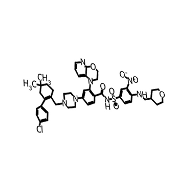 CC1(C)CCC(CN2CCN(c3ccc(C(=O)NS(=O)(=O)c4ccc(NCC5CCOCC5)c([N+](=O)[O-])c4)c(N4CCOc5ncccc54)c3)CC2)=C(c2ccc(Cl)cc2)C1